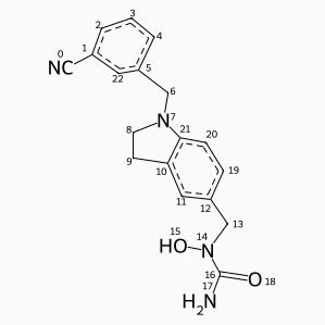 N#Cc1cccc(CN2CCc3cc(CN(O)C(N)=O)ccc32)c1